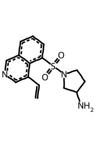 C=Cc1cncc2cccc(S(=O)(=O)N3CCC(N)C3)c12